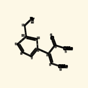 COC=C(C(=O)OC)c1cccc(CBr)c1